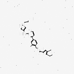 Cc1cc(-c2ccnc(Nc3cnn(CCO)c3)n2)ccc1CNC(=O)c1cc2c(s1)CCOC2